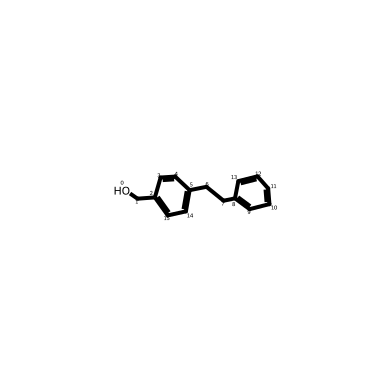 OCc1ccc(CCc2ccccc2)cc1